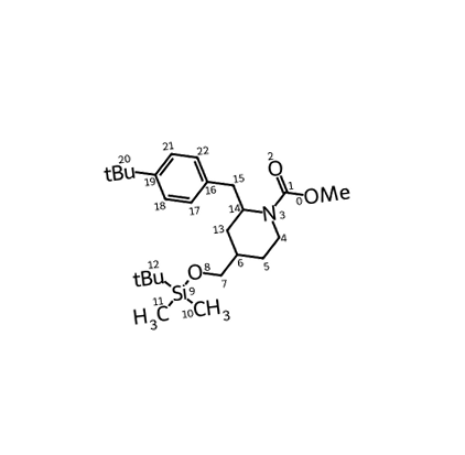 COC(=O)N1CCC(CO[Si](C)(C)C(C)(C)C)CC1Cc1ccc(C(C)(C)C)cc1